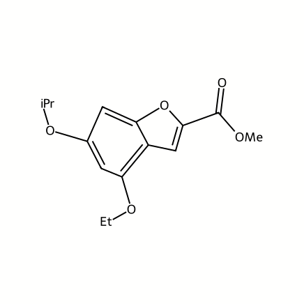 CCOc1cc(OC(C)C)cc2oc(C(=O)OC)cc12